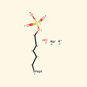 CCCCCCCCCCCCOS(=O)(=O)[O-].[K+].[Na+].[OH-]